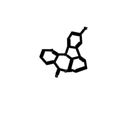 COC(=O)c1cccnc1-n1c2ccccc2c2cc(Br)ccc21